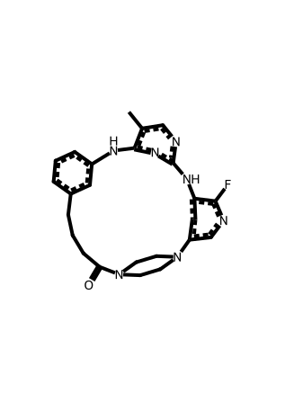 Cc1cnc2nc1Nc1cccc(c1)CCCC(=O)N1CCN(CC1)c1cnc(F)c(c1)N2